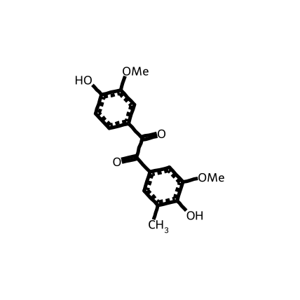 COc1cc(C(=O)C(=O)c2cc(C)c(O)c(OC)c2)ccc1O